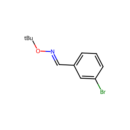 CC(C)(C)O/N=[C]/c1cccc(Br)c1